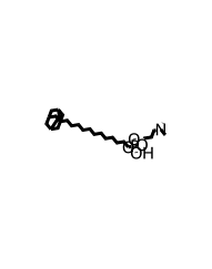 CN(C)CCCOP(=O)(O)OCCCCCCCCCCCC12CC3CC(CC(C3)C1)C2